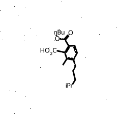 CCCCOC(=O)c1ccc(CCCC(C)C)c(C)c1C(=O)O